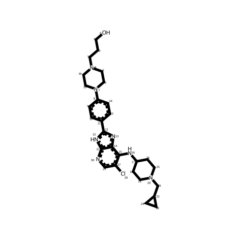 OCCCN1CCN(c2ccc(-c3nc4c(NC5CCN(CC6CC6)CC5)c(Cl)cnc4[nH]3)cc2)CC1